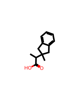 CC(C(=O)O)C1(C)Cc2ccccc2C1